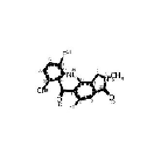 CN1Cc2c(cc(F)c(C(=O)c3cc(F)ccc3Cl)c2C#N)C1=O